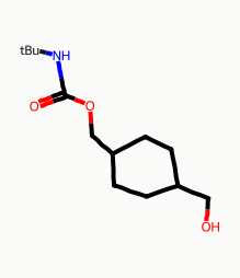 CC(C)(C)NC(=O)OCC1CCC(CO)CC1